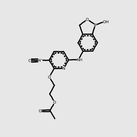 [C-]#[N+]c1ccc(Nc2ccc3c(c2)COB3O)nc1OCCOC(C)=O